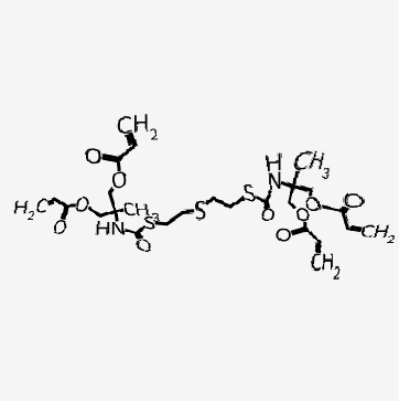 C=CC(=O)OCC(C)(COC(=O)C=C)NC(=O)SCCSCCSC(=O)NC(C)(COC(=O)C=C)COC(=O)C=C